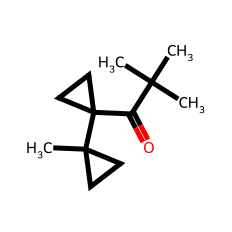 CC(C)(C)C(=O)C1(C2(C)CC2)CC1